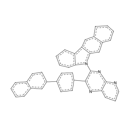 c1ccc2cc(-c3ccc(-c4nc5cccnc5nc4-n4c5ccccc5c5cc6ccccc6cc54)cc3)ccc2c1